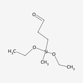 CCO[Si](C)(CCC=O)OCC